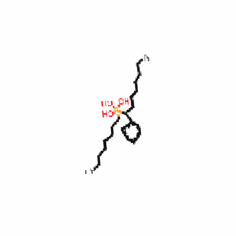 CC(C)CCCCCCCP(O)(O)(O)C(CCCCCCC(C)C)c1ccccc1